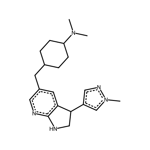 CN(C)C1CCC(Cc2cnc3c(c2)C(c2cnn(C)c2)CN3)CC1